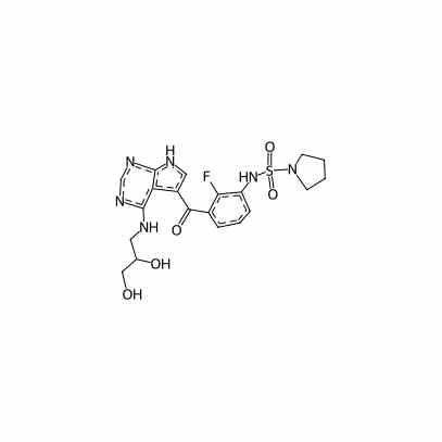 O=C(c1cccc(NS(=O)(=O)N2CCCC2)c1F)c1c[nH]c2ncnc(NCC(O)CO)c12